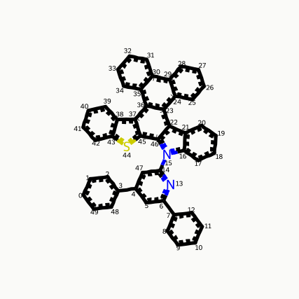 c1ccc(-c2cc(-c3ccccc3)nc(-n3c4ccccc4c4c5c6ccccc6c6ccccc6c5c5c6ccccc6sc5c43)c2)cc1